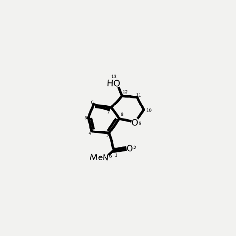 CNC(=O)c1cccc2c1OCCC2O